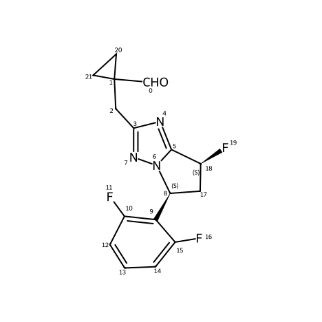 O=CC1(Cc2nc3n(n2)[C@H](c2c(F)cccc2F)C[C@@H]3F)CC1